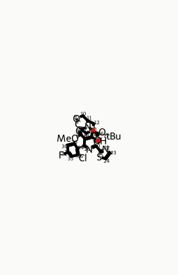 COC(=O)C1=C(CN2C3COCC2CN(C(=O)OC(C)(C)C)C3)NC(c2nccs2)=N[C@H]1c1ccc(F)cc1Cl